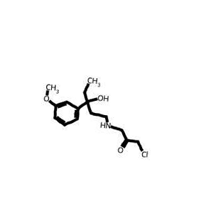 CCC(O)(CCNCC(=O)CCl)c1cccc(OC)c1